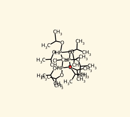 CC(C)O[PH](OC(C)C)(OC(C)C)[Co]([Cl])([PH](OC(C)C)(OC(C)C)OC(C)C)[PH](OC(C)C)(OC(C)C)OC(C)C